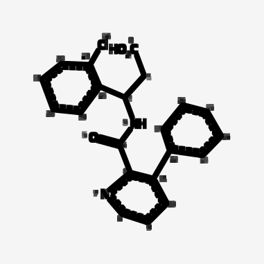 O=C(O)CC(NC(=O)c1ncccc1-c1ccccc1)c1ccccc1Cl